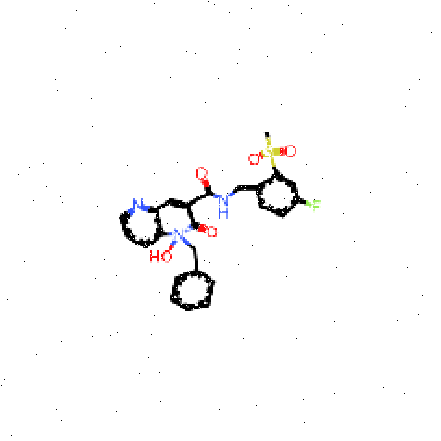 CS(=O)(=O)c1cc(F)ccc1CNC(=O)C1=Cc2ncccc2[N+](O)(Cc2ccccc2)C1=O